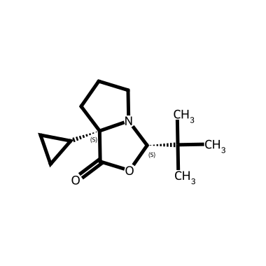 CC(C)(C)[C@@H]1OC(=O)[C@@]2(C3CC3)CCCN12